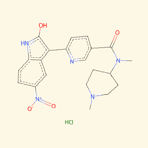 CN1CCC(N(C)C(=O)c2ccc(-c3c(O)[nH]c4ccc([N+](=O)[O-])cc34)nc2)CC1.Cl